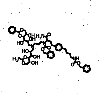 NC(=O)C(CCc1ccc(CCCCNC(=O)OCc2ccccc2)cc1)N(CCCN(C[C@H](O)[C@@H](O)[C@@H]1OC(P)OC[C@H]1O)C[C@H](O)[C@@H](O)[C@@H]1OC(c2ccccc2)OC[C@H]1O)C(=O)OCc1ccccc1